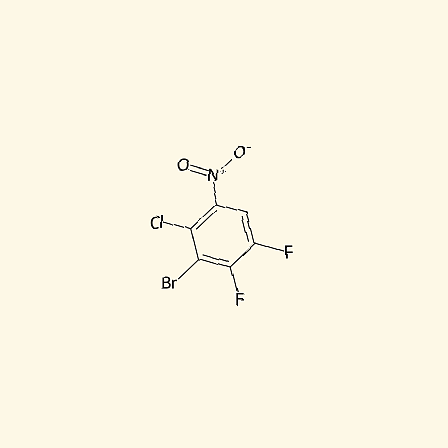 O=[N+]([O-])c1cc(F)c(F)c(Br)c1Cl